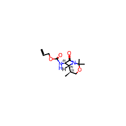 C=CCOC(=O)N[C@H]1C(=O)N2[C@@H]1[C@H](C)COC2(C)C